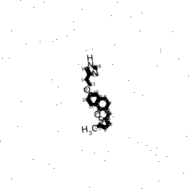 Cc1ccc(/C=C2/CCc3cc(OCCc4c[nH]cn4)ccc3C2=O)s1